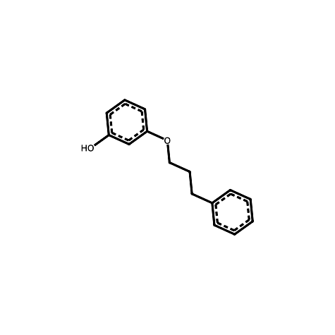 Oc1cccc(OCCCc2ccccc2)c1